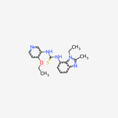 CCOc1ccncc1NC(=S)Nc1cccc2nc(C)n(CC)c12